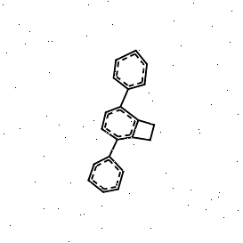 c1ccc(-c2ccc(-c3ccccc3)c3c2CC3)cc1